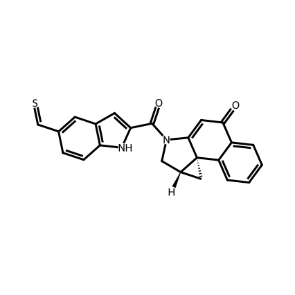 O=C1C=C2N(C(=O)c3cc4cc(C=S)ccc4[nH]3)C[C@H]3C[C@@]23c2ccccc21